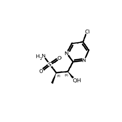 C[C@H]([C@H](O)c1ncc(Cl)cn1)S(N)(=O)=O